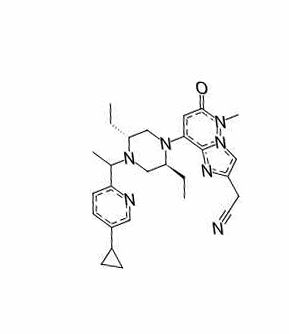 CC[C@H]1CN(C(C)c2ccc(C3CC3)cn2)[C@H](CC)CN1c1cc(=O)n(C)n2cc(CC#N)nc12